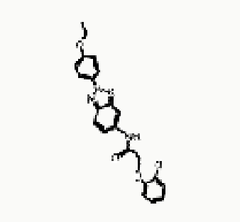 CCOc1ccc(-n2nc3ccc(NC(=O)COc4ccccc4Cl)cc3n2)cc1